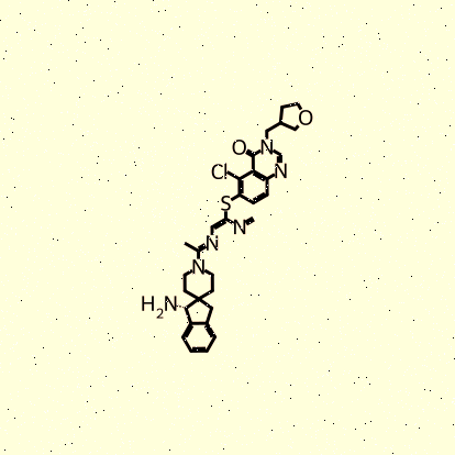 C=N/C(=C\N=C(/C)N1CCC2(CC1)Cc1ccccc1[C@@H]2N)Sc1ccc2ncn(CC3CCOC3)c(=O)c2c1Cl